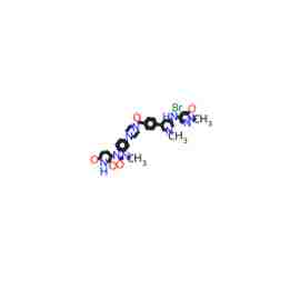 CN1CC(c2ccc(C(=O)N3CCN(c4ccc5c(c4)n(C)c(=O)n5C4CCC(=O)NC4=O)CC3)cc2)C[C@@H](Nc2cnn(C)c(=O)c2Br)C1